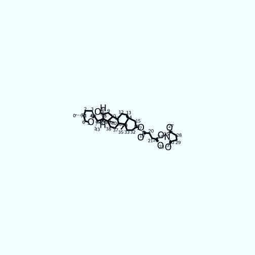 C[C@@H]1CC[C@@]2(OC1)O[C@H]1CC3C4CC=C5C[C@@H](OC(=O)CCC(=O)ON6C(=O)CCC6=O)CC[C@]5(C)C4CC[C@]3(C)[C@H]1[C@@H]2C